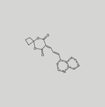 O=C1OC2(CCC2)OC(=O)C1=CC=Cc1ccnc2ccccc12